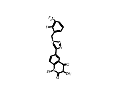 CCN1C(=O)C(O)C(=O)c2cc(-c3cn(Cc4cccc(C(F)(F)F)c4F)nn3)ccc21